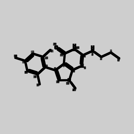 CCCNc1nc2c(c(-c3c(C)cc(C)cc3C)cn2C)c(=O)[nH]1